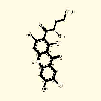 N[C@@H](CCC(=O)O)C(=O)c1c(O)cc2oc3cc(O)c(O)cc3c(=O)c2c1O